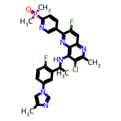 Cc1cn(-c2ccc(F)c(C(C)Nc3c(Cl)c(C)nc4cc(F)c(-c5ccc(P(C)(C)=O)nc5)nc34)c2)cn1